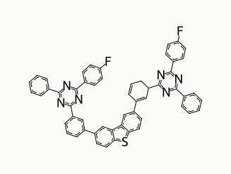 Fc1ccc(-c2nc(-c3ccccc3)nc(-c3cccc(-c4ccc5sc6ccc(C7=CC(c8nc(-c9ccccc9)nc(-c9ccc(F)cc9)n8)CC=C7)cc6c5c4)c3)n2)cc1